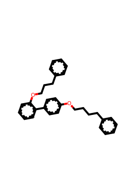 [c]1cccc(OCCCc2ccccc2)c1-c1ccc(OCCCCc2ccccc2)cc1